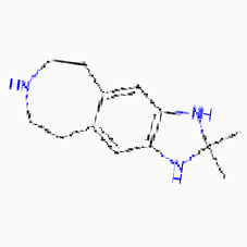 CC1(C)Nc2cc3c(cc2N1)CCNCC3